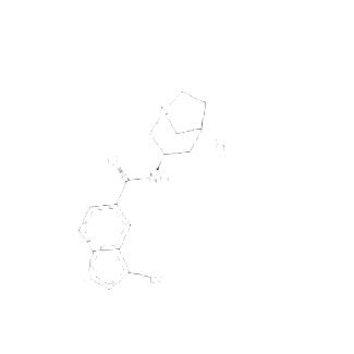 O=C(N[C@@H]1C[C@@H]2CCN(C2)C1)c1ccc2occ(Br)c2c1